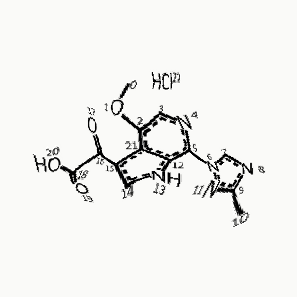 COc1cnc(-n2cnc(C)n2)c2[nH]cc(C(=O)C(=O)O)c12.Cl